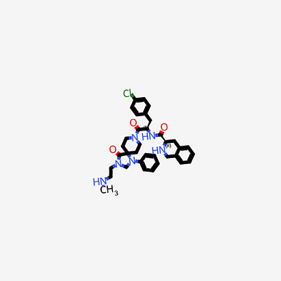 CNCCN1CN(c2ccccc2)C2(CCN(C(=O)[C@@H](Cc3ccc(Cl)cc3)NC(=O)[C@H]3Cc4ccccc4CN3)CC2)C1=O